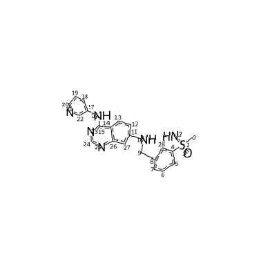 CS(=N)(=O)c1cccc(CNc2ccc3c(Nc4cccnc4)ncnc3c2)c1